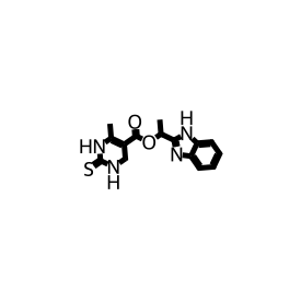 CC1=C(C(=O)OC(C)c2nc3ccccc3[nH]2)CNC(=S)N1